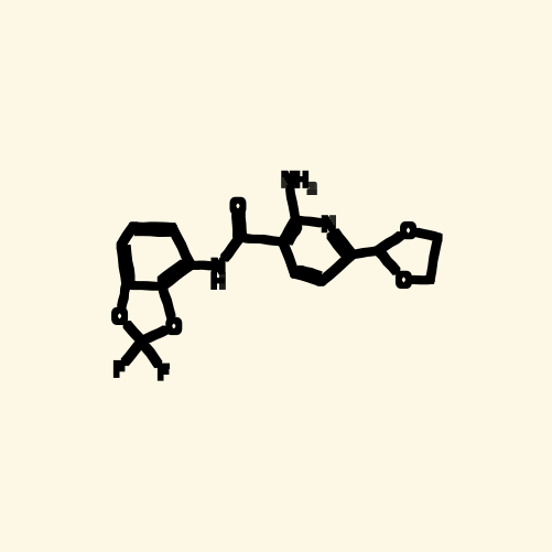 Nc1nc(C2OCCO2)ccc1C(=O)Nc1cccc2c1OC(F)(F)O2